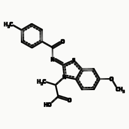 COc1ccc2c(c1)s/c(=N\C(=O)c1ccc(C)cc1)n2C(C)C(=O)O